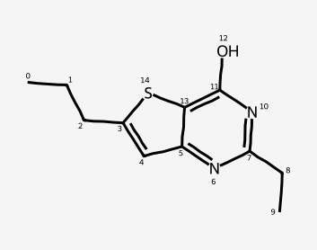 CCCc1cc2nc(CC)nc(O)c2s1